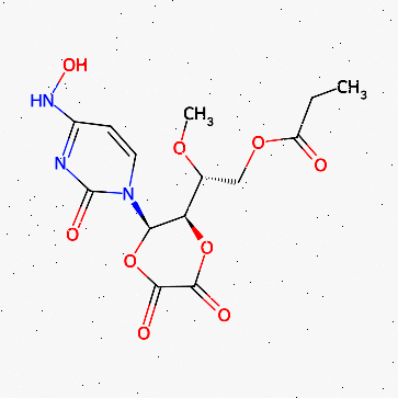 CCC(=O)OC[C@@H](OC)[C@H]1OC(=O)C(=O)O[C@H]1n1ccc(NO)nc1=O